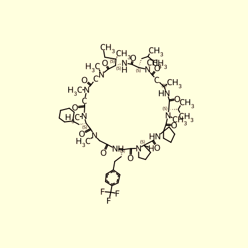 CC[C@H](C)[C@@H]1NC(=O)[C@H](CC(C)C)N(C)C(=O)C[C@@H](C)NC(=O)[C@H](C(C)C)N(C)C(=O)C2(CCCC2)NC(=O)[C@@H]2CCCN2C(=O)[C@H](CCc2ccc(C(F)(F)F)cc2)NC(=O)CN(C)C(=O)[C@H](CC2CCCCC2)N(C)C(=O)CN(C)C(=O)CN(C)C1=O